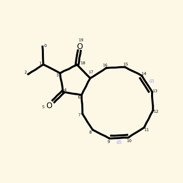 CC(C)C1C(=O)C2CC/C=C\CC/C=C\CCC2C1=O